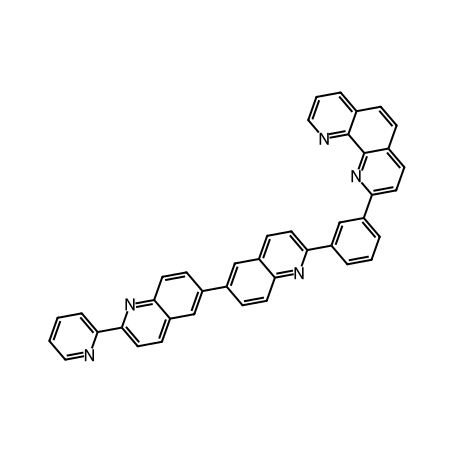 c1ccc(-c2ccc3cc(-c4ccc5nc(-c6cccc(-c7ccc8ccc9cccnc9c8n7)c6)ccc5c4)ccc3n2)nc1